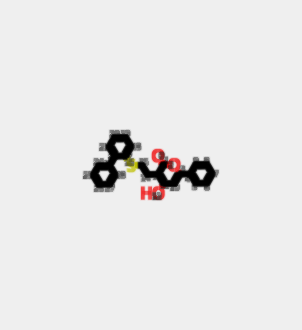 O=c1oc(-c2ccccc2)cc(O)c1CCSc1ccccc1-c1ccccc1